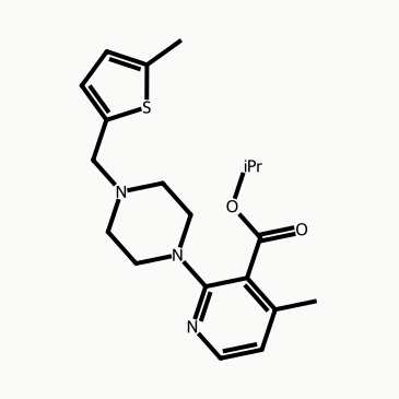 Cc1ccc(CN2CCN(c3nccc(C)c3C(=O)OC(C)C)CC2)s1